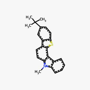 Cn1c2ccccc2c2c3sc4ccc(C(C)(C)C)cc4c3ccc21